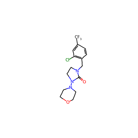 O=C1N(Cc2ccc(C(F)(F)F)cc2Cl)CCN1N1CCOCC1